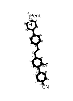 CCCCC[SiH]1CCC(c2ccc(CCc3ccc(-c4ccc(C#N)cc4)c(F)c3)cc2)CC1